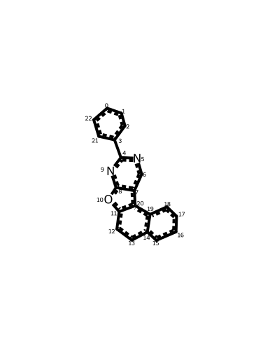 c1ccc(-c2ncc3c(n2)oc2ccc4ccccc4c23)cc1